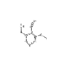 COc1cccc([CH]O)c1C#N